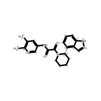 Cc1cc(NC(=O)C(=O)N2CCCC[C@H]2c2cccc3[nH]ncc23)cnc1N